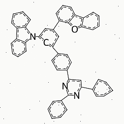 c1ccc(-c2cc(-c3ccc(-c4cc(-c5cccc6c5oc5ccccc56)cc(-n5c6ccccc6c6ccccc65)c4)cc3)nc(-c3ccccc3)n2)cc1